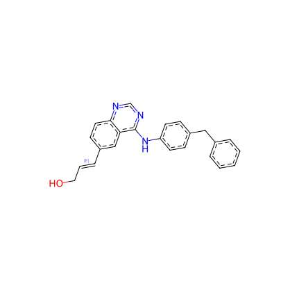 OC/C=C/c1ccc2ncnc(Nc3ccc(Cc4ccccc4)cc3)c2c1